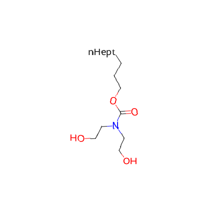 CCCCCCCCCCOC(=O)N(CCO)CCO